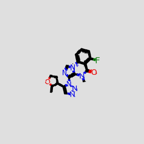 CC1OCCC1c1cnnn1C1=C2N(C)C(=O)c3c(F)cccc3[N+]2C=N1